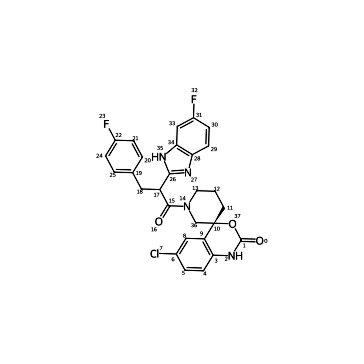 O=C1Nc2ccc(Cl)cc2[C@@]2(CCCN(C(=O)C(Cc3ccc(F)cc3)c3nc4ccc(F)cc4[nH]3)C2)O1